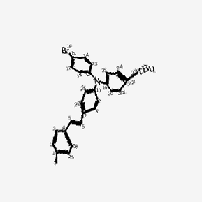 Cc1ccc(/C=C/c2ccc(N(c3ccc(Br)cc3)c3ccc(C(C)(C)C)cc3)cc2)cc1